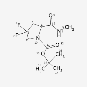 CNC(=O)C1CC(F)(F)CN1C(=O)OC(C)(C)C